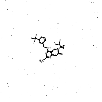 Cc1nc(NCc2cccc(C(F)(F)F)c2)c2cn(C3(C(F)F)CC3)c(=O)cc2n1